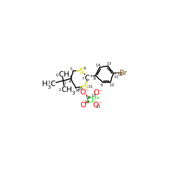 CC(C)(C)C1CS[C+](c2ccc(Br)cc2)SC1.[O-][Cl+3]([O-])([O-])[O-]